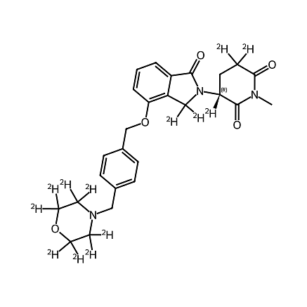 [2H]C1([2H])C[C@@]([2H])(N2C(=O)c3cccc(OCc4ccc(CN5C([2H])([2H])C([2H])([2H])OC([2H])([2H])C5([2H])[2H])cc4)c3C2([2H])[2H])C(=O)N(C)C1=O